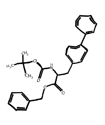 CC(C)(C)OC(=O)NC(Cc1ccc(-c2ccccc2)cc1)C(=O)OCc1ccccc1